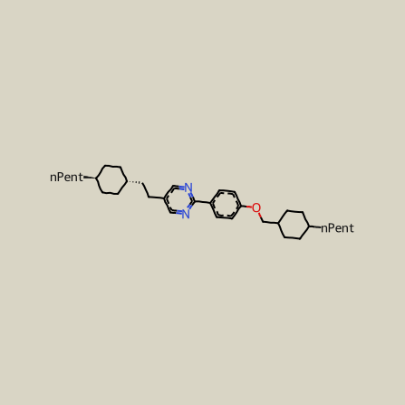 CCCCCC1CCC(COc2ccc(-c3ncc(CC[C@H]4CC[C@H](CCCCC)CC4)cn3)cc2)CC1